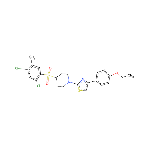 CCOc1ccc(-c2csc(N3CCC(S(=O)(=O)c4cc(C)c(Cl)cc4Cl)CC3)n2)cc1